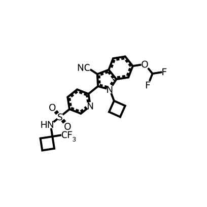 N#Cc1c(-c2ccc(S(=O)(=O)NC3(C(F)(F)F)CCC3)cn2)n(C2CCC2)c2cc(OC(F)F)ccc12